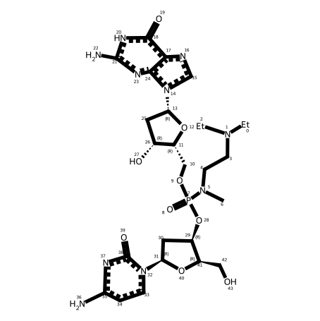 CCN(CC)CCN(C)P(=O)(OC[C@H]1O[C@@H](n2cnc3c(=O)[nH]c(N)nc32)C[C@H]1O)O[C@@H]1C[C@H](n2ccc(N)nc2=O)O[C@@H]1CO